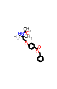 CC(=O)NC(C)(C)CCOc1ccc(C(=O)OCc2ccccc2)cc1